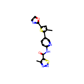 Cc1cc(-c2ncco2)sc1-c1ccc(NC(=O)c2snnc2C)nc1